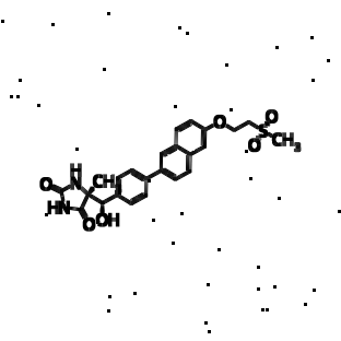 C[C@]1([C@H](O)c2ccc(-c3ccc4cc(OCCS(C)(=O)=O)ccc4c3)cc2)NC(=O)NC1=O